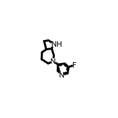 Fc1cncc(N2CCCC3CCNC3C2)c1